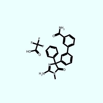 CN1C(=O)C(c2ccccc2)(c2cccc(-c3cccc(C(N)=O)c3)c2)N=C1N.O=C(O)C(F)(F)F